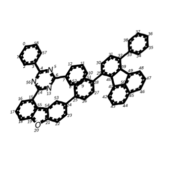 c1ccc(-c2nc(-c3ccccc3)nc(-c3cccc4oc5ccc(-c6ccc(-c7ccc(-c8ccccc8)c8c7-c7cccc9cccc-8c79)cc6)cc5c34)n2)cc1